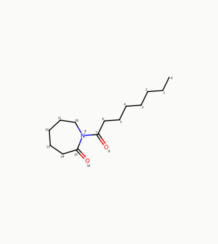 CCCCCCCC(=O)N1CCCCCC1=O